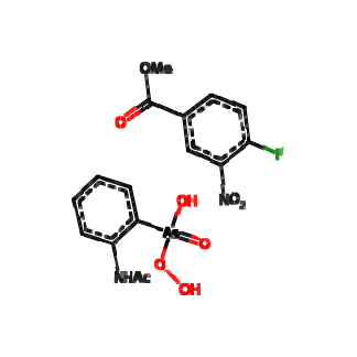 CC(=O)Nc1ccccc1[As](=O)(O)OO.COC(=O)c1ccc(F)c([N+](=O)[O-])c1